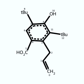 C=CCc1c(C(=O)O)cc(C(C)(C)C)c(O)c1C(C)(C)C